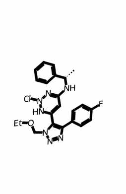 CCOCn1nnc(-c2ccc(F)cc2)c1C1=CC(N[C@@H](C)c2ccccc2)=NN(Cl)N1